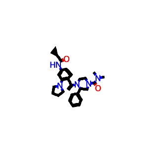 C=C(c1ccc(NC(=O)C2CC2)cc1N1CCCC1)N1CCN(C(=O)N(C)C)CC1c1ccccc1